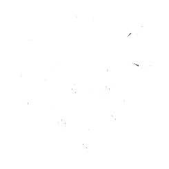 CC(=O)O[C@@H]1[C@H](OC(C)=O)[C@@H](CO)S[C@H]1n1cnc2c(N)nc(C(=O)c3ccccc3)nc21